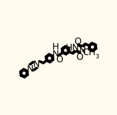 Cn1c(=O)c(=Cc2cccc(C(=O)Nc3ccc(CCN4CCN(c5ccccc5)CC4)cc3)c2)[nH]c(=O)c1=Cc1ccccc1